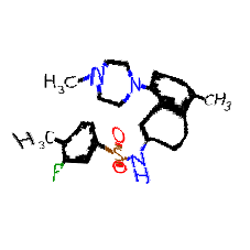 Cc1ccc(S(=O)(=O)N[C@@H]2CCc3c(C)ccc(N4CCN(C)CC4)c3C2)cc1F